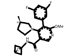 COc1ncc(C(=O)NC23CC(C2)C3)c(N2CC[C@@H](C)C2)c1-c1cc(F)cc(F)c1